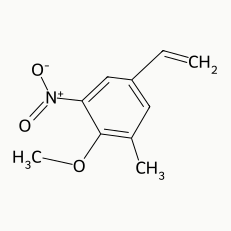 C=Cc1cc(C)c(OC)c([N+](=O)[O-])c1